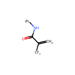 C=C(C(=O)NC(C)C)C(F)(F)F